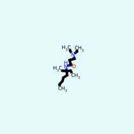 CCCCCC(CC)(CC)NC(=O)CCN(CC)CC